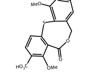 COc1cc(C)cc2c1Sc1ccc(C(=O)O)c(OC)c1C(=O)OC2